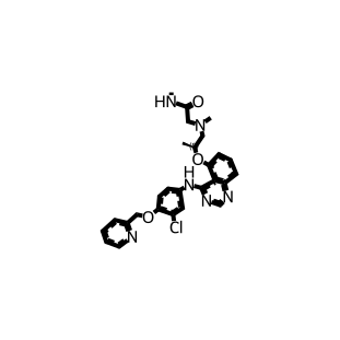 CNC(=O)CN(C)C[C@H](C)Oc1cccc2ncnc(Nc3ccc(OCc4ccccn4)c(Cl)c3)c12